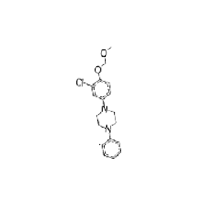 COCOc1ccc(N2CCN(c3[c]cccc3)CC2)cc1Cl